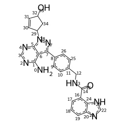 Nc1ncnc2c1c(-c1ccc(CNC(=O)c3cccc4nc[nH]c34)cc1)nn2C1C=CC(O)C1